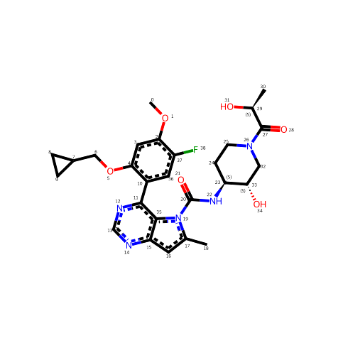 COc1cc(OCC2CC2)c(-c2ncnc3cc(C)n(C(=O)N[C@H]4CCN(C(=O)[C@H](C)O)C[C@@H]4O)c23)cc1F